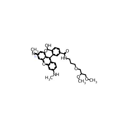 C/N=c1\ccc2c(-c3cc(C(=O)NCCCOCC(COC)OC)ccc3C(=O)O)c3ccc(NC)cc3oc-2c1